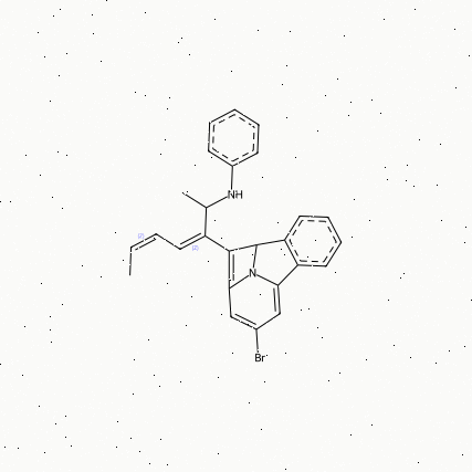 C/C=C\C=C(\C1=C2C=C(Br)C=C3c4ccccc4C1N32)C(C)Nc1ccccc1